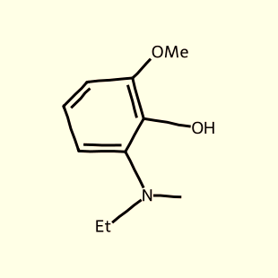 CCN(C)c1cccc(OC)c1O